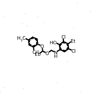 CCc1c(Cl)cc(NCOC(CC)Oc2ccc(C)cc2C)c(O)c1Cl